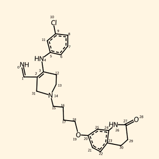 N=CC1=C(Nc2cccc(Cl)c2)CCN(CCCCOc2ccc3c(c2)NC(=O)CC3)C1